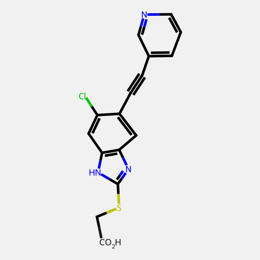 O=C(O)CSc1nc2cc(C#Cc3cccnc3)c(Cl)cc2[nH]1